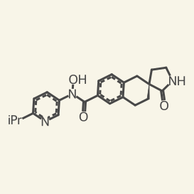 CC(C)c1ccc(N(O)C(=O)c2ccc3c(c2)CC[C@]2(CCNC2=O)C3)cn1